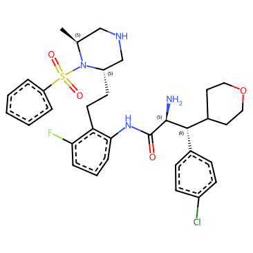 C[C@H]1CNC[C@H](CCc2c(F)cccc2NC(=O)[C@@H](N)[C@@H](c2ccc(Cl)cc2)C2CCOCC2)N1S(=O)(=O)c1ccccc1